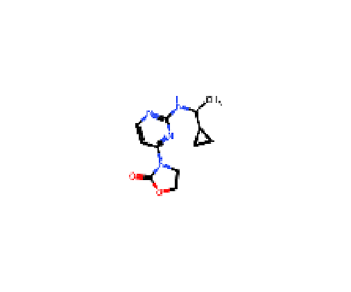 C[C@H](Nc1nccc(N2CCOC2=O)n1)C1CC1